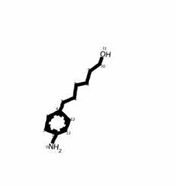 Nc1ccc(CCCCCCO)cc1